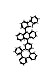 c1ccc2c(c1)-c1ccccc1-c1ccc(-c3c4ccccc4c(-c4cccc5c4oc4ccccc45)c4ccccc34)cc1-c1ccccc1-2